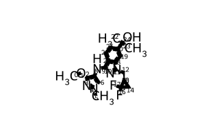 COc1nn(C)cc1Nc1nn(C[C@H]2CC2(F)F)c2cc(C(C)(C)O)ccc12